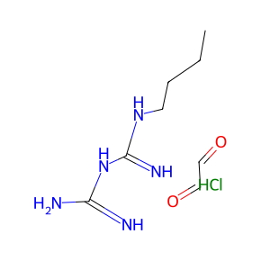 CCCCNC(=N)NC(=N)N.Cl.O=CC=O